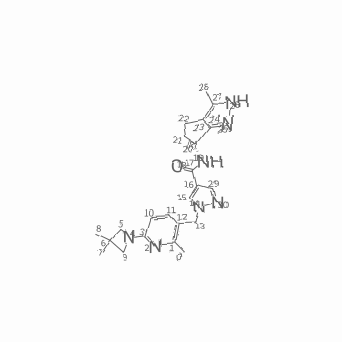 Cc1nc(N2CC(C)(C)C2)ccc1Cn1cc(C(=O)N[C@@H]2CCc3c2n[nH]c3C)cn1